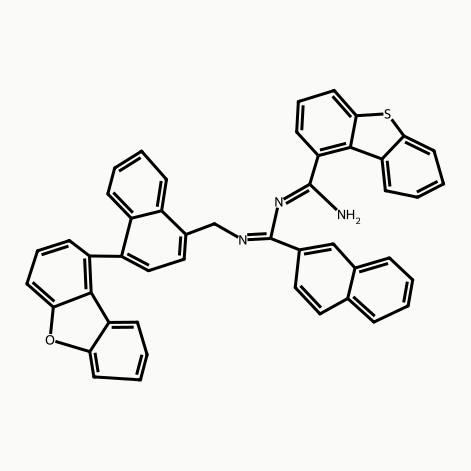 N/C(=N\C(=N/Cc1ccc(-c2cccc3oc4ccccc4c23)c2ccccc12)c1ccc2ccccc2c1)c1cccc2sc3ccccc3c12